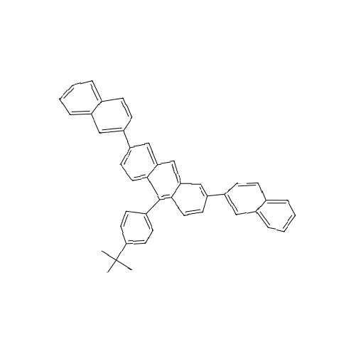 CC(C)(C)c1ccc(-c2c3ccc(-c4ccc5ccccc5c4)cc3cc3cc(-c4ccc5ccccc5c4)ccc23)cc1